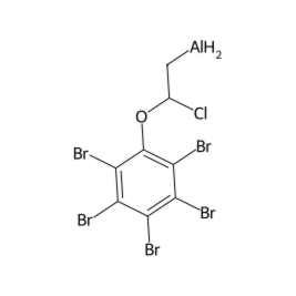 [AlH2][CH2]C(Cl)Oc1c(Br)c(Br)c(Br)c(Br)c1Br